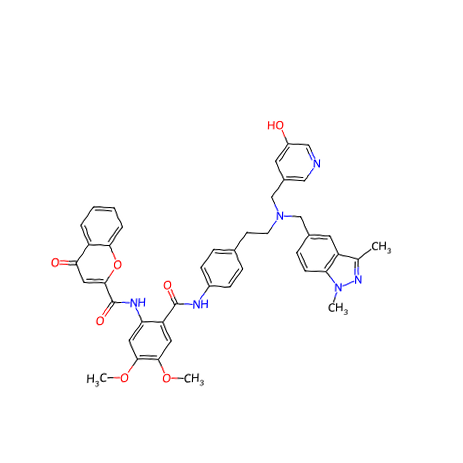 COc1cc(NC(=O)c2cc(=O)c3ccccc3o2)c(C(=O)Nc2ccc(CCN(Cc3cncc(O)c3)Cc3ccc4c(c3)c(C)nn4C)cc2)cc1OC